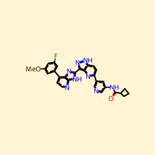 COc1cc(F)cc(-c2ccnc3[nH]c(-c4n[nH]c5ccc(-c6cncc(NC(=O)C7CCC7)c6)nc45)nc23)c1